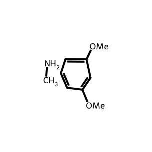 CN.COc1cccc(OC)c1